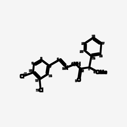 COC(C(=O)N/N=C/c1ccc(Cl)c(Cl)c1)c1ccccc1